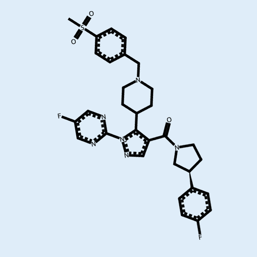 CS(=O)(=O)c1ccc(CN2CCC(c3c(C(=O)N4CC[C@@H](c5ccc(F)cc5)C4)cnn3-c3ncc(F)cn3)CC2)cc1